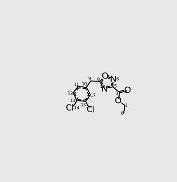 CCOC(=O)c1noc(Cc2ccc(Cl)c(Cl)c2)n1